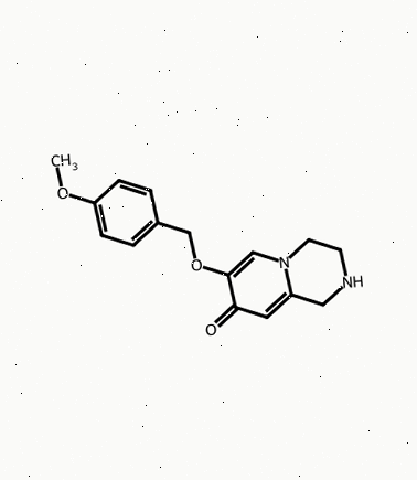 COc1ccc(COc2cn3c(cc2=O)CNCC3)cc1